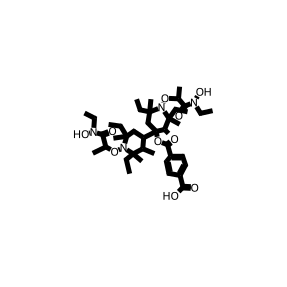 CCN(O)C(=O)C(C)ON1C(C)(CC)CC(C2(OC(=O)c3ccc(C(=O)O)cc3)CC(C)(CC)N(OC(C)C(=O)N(O)CC)C(C)(CC)C2C)C(C)C1(C)CC